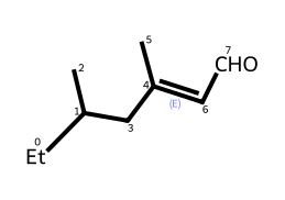 CCC(C)C/C(C)=C/C=O